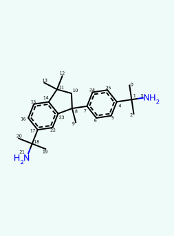 CC(C)(N)c1ccc(C2(C)CC(C)(C)c3ccc(C(C)(C)N)cc32)cc1